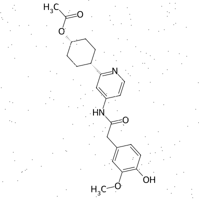 COc1cc(CC(=O)Nc2ccnc([C@H]3CC[C@@H](OC(C)=O)CC3)c2)ccc1O